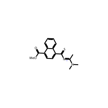 COC(=O)c1ccc(C(=S)/N=C(\C)N(C)C)c2ccccc12